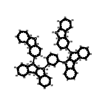 c1cc(-n2c3ccccc3c3c4ccccc4n(-c4ccc5oc6ccccc6c5c4)c32)cc(-n2c3ccccc3c3c4ccccc4n(-c4ccc5oc6ccccc6c5c4)c32)c1